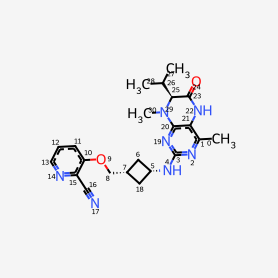 Cc1nc(N[C@H]2C[C@@H](COc3cccnc3C#N)C2)nc2c1NC(=O)[C@H](C(C)C)N2C